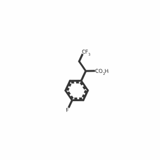 O=C(O)C(CC(F)(F)F)c1ccc(F)cc1